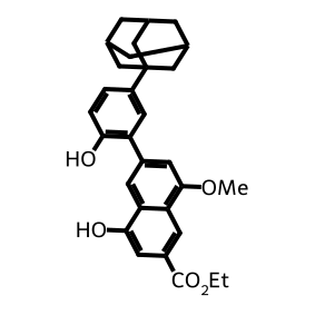 CCOC(=O)c1cc(O)c2cc(-c3cc(C45CC6CC(CC(C6)C4)C5)ccc3O)cc(OC)c2c1